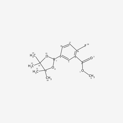 COC(=O)c1cc(B2OC(C)(C)C(C)(C)O2)ccc1F